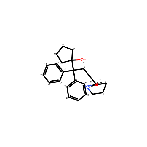 OC1(C(CC2CC3CCN2CC3)(c2ccccc2)c2ccccc2)CCCC1